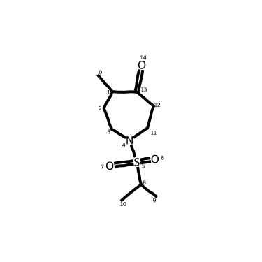 CC1CCN(S(=O)(=O)C(C)C)CCC1=O